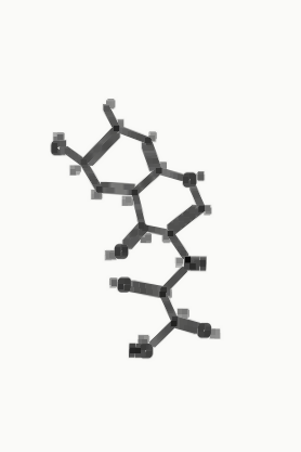 Cc1cc2occ(NC(=O)C(=O)O)c(=O)c2cc1Cl